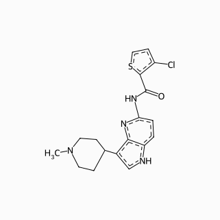 CN1CCC(c2c[nH]c3ccc(NC(=O)c4sccc4Cl)nc23)CC1